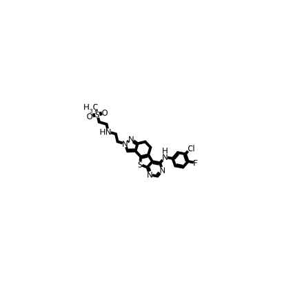 CS(=O)(=O)CCNCCn1cc2c(n1)CCc1c-2sc2ncnc(Nc3ccc(F)c(Cl)c3)c12